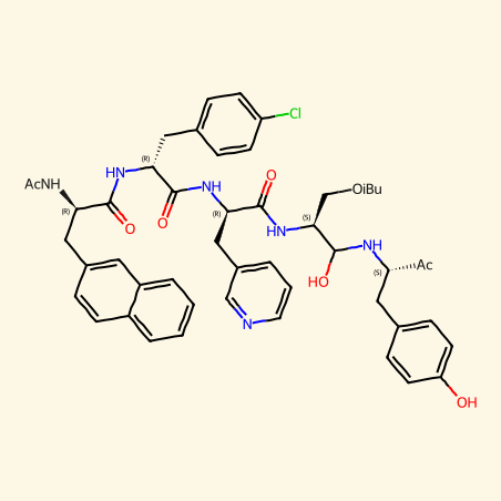 CC(=O)N[C@H](Cc1ccc2ccccc2c1)C(=O)N[C@H](Cc1ccc(Cl)cc1)C(=O)N[C@H](Cc1cccnc1)C(=O)N[C@@H](COCC(C)C)C(O)N[C@@H](Cc1ccc(O)cc1)C(C)=O